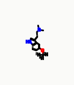 [2H]C([2H])([2H])Oc1ccc2[nH]cc(CCN(C)C)c2c1